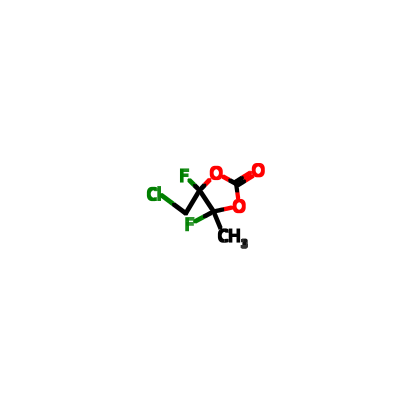 CC1(F)OC(=O)OC1(F)CCl